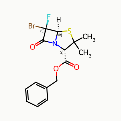 CC1(C)S[C@H]2N(C(=O)[C@]2(F)Br)[C@H]1C(=O)OCc1ccccc1